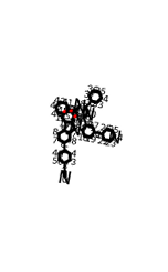 N#Cc1ccc(-c2ccc3c4ccccc4n(-c4ccc(-c5ccncc5)cc4-c4nc(-c5ccccc5)nc(-c5ccccc5)n4)c3c2)cc1